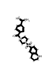 N=C(N)c1ccc(C(=O)N2CCN(S(=O)(=O)c3ccc4c(c3)CCCN4)CC2)cc1